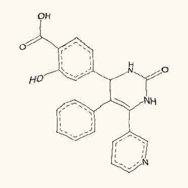 O=C1NC(c2cccnc2)=C(c2ccccc2)C(c2ccc(C(=O)O)c(O)c2)N1